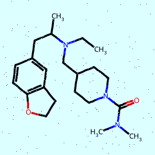 CCN(CC1CCN(C(=O)N(C)C)CC1)C(C)Cc1ccc2c(c1)CCO2